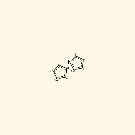 c1cnsc1.c1cnsc1